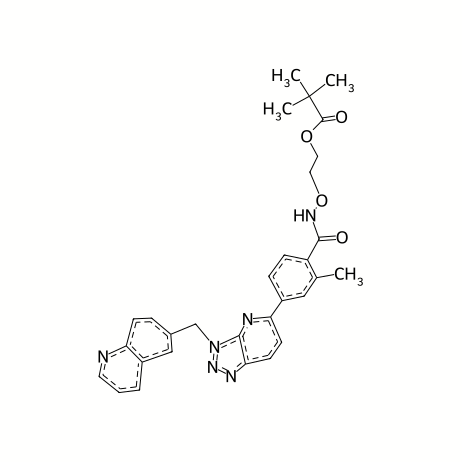 Cc1cc(-c2ccc3nnn(Cc4ccc5ncccc5c4)c3n2)ccc1C(=O)NOCCOC(=O)C(C)(C)C